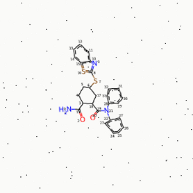 NC(=O)C1CCC(Sc2nc3ccccc3s2)CC1C(=O)N(c1ccccc1)c1ccccc1